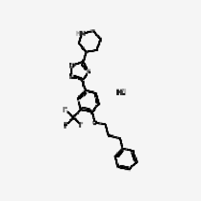 Cl.FC(F)(F)c1cc(-c2noc(C3CCCNC3)n2)ccc1OCCCc1ccccc1